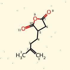 C=C(C)CCC1CC(=O)OC1=O